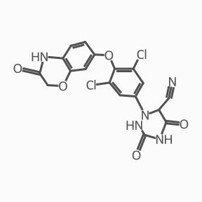 N#CC1C(=O)NC(=O)NN1c1cc(Cl)c(Oc2ccc3c(c2)OCC(=O)N3)c(Cl)c1